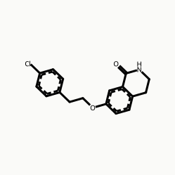 O=C1NCCc2ccc(OCCc3ccc(Cl)cc3)cc21